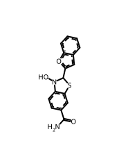 NC(=O)c1ccc2c(c1)SC(c1cc3ccccc3o1)N2O